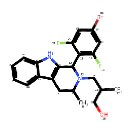 CC1Cc2c([nH]c3ccccc23)C(c2c(F)cc(Br)cc2F)N1CC(CO)C(F)(F)F